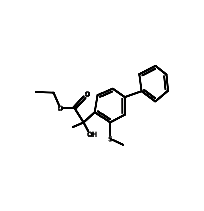 CCOC(=O)C(C)(O)c1ccc(-c2ccccc2)cc1SC